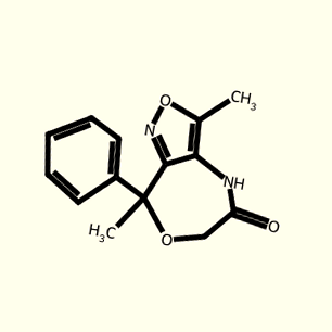 Cc1onc2c1NC(=O)COC2(C)c1ccccc1